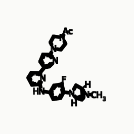 CC(=O)N1CCN(c2ccc(-c3cccc(Nc4ccc(N5C[C@@H]6C[C@H]5CN6C)c(F)c4)n3)cn2)CC1